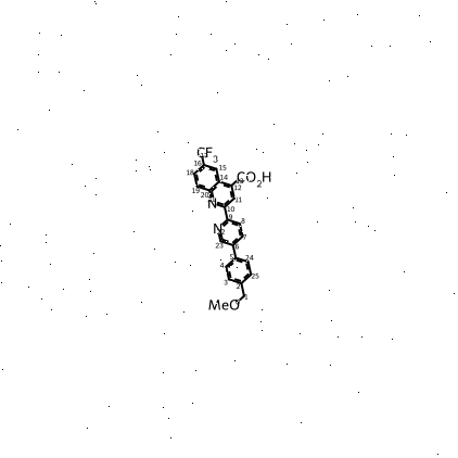 COCc1ccc(-c2ccc(-c3cc(C(=O)O)c4cc(C(F)(F)F)ccc4n3)nc2)cc1